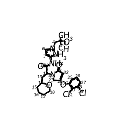 CC(C)(O)Cn1ccc(NC(=O)C(CC2CCCCO2)N2CC(Oc3cccc(Cl)c3Cl)=CC2=O)n1